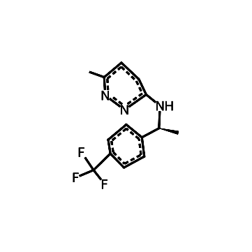 Cc1ccc(N[C@@H](C)c2ccc(C(F)(F)F)cc2)nn1